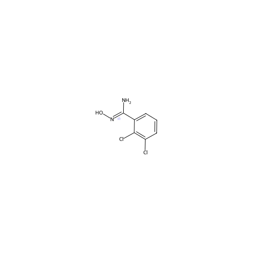 N/C(=N\O)c1cccc(Cl)c1Cl